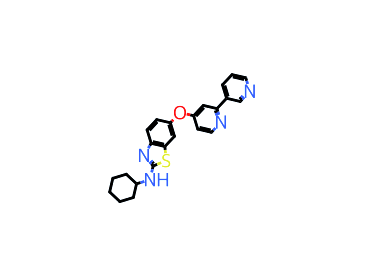 c1cncc(-c2cc(Oc3ccc4nc(NC5CCCCC5)sc4c3)ccn2)c1